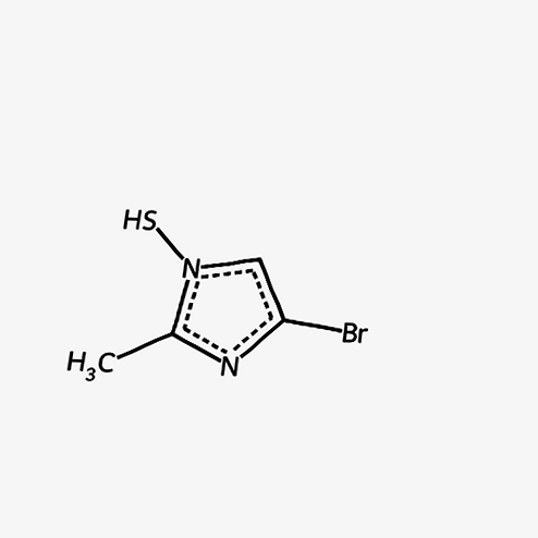 Cc1nc(Br)cn1S